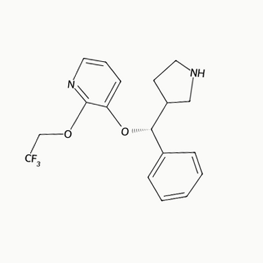 FC(F)(F)COc1ncccc1O[C@@H](c1ccccc1)C1CCNC1